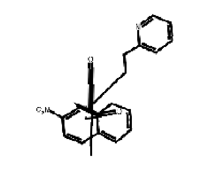 O=C1CC2=C([N+](=O)[O-])C=CC3=CC=CCC32C(=O)N1CCc1ccccn1